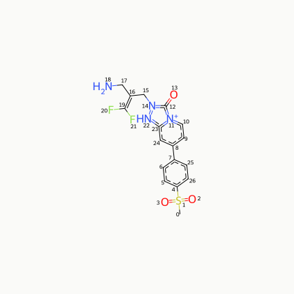 CS(=O)(=O)c1ccc(-c2cc[n+]3c(=O)n(CC(CN)=C(F)F)[nH]c3c2)cc1